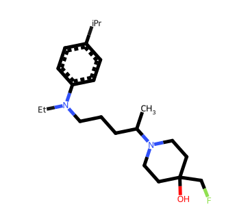 CCN(CCCC(C)N1CCC(O)(CF)CC1)c1ccc(C(C)C)cc1